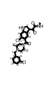 CNC(=O)C(=O)C1CNc2cc(Cl)c(C(=O)N3C[C@H](C)N(Cc4cccc(Cl)c4)C[C@H]3C)cc21